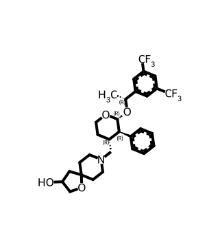 C[C@@H](O[C@H]1OCC[C@@H](CN2CCC3(CC2)CC(O)CO3)[C@@H]1c1ccccc1)c1cc(C(F)(F)F)cc(C(F)(F)F)c1